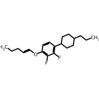 CCC/C=C/Oc1ccc(C2CCC(CCC)CC2)c(F)c1F